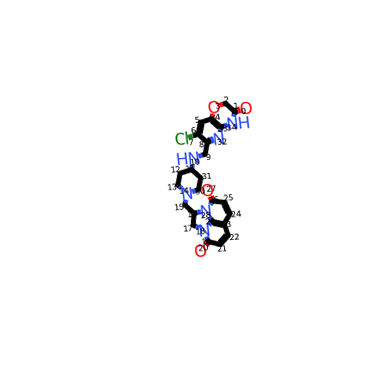 O=C1COc2cc(Cl)c(CNC3CCN(CC4Cn5c(=O)ccc6ccc(=O)n4c65)CC3)nc2N1